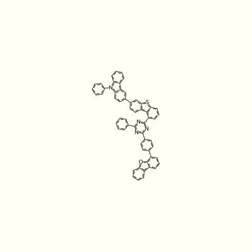 c1ccc(-c2nc(-c3ccc(-c4cccc5c4oc4ccccc45)cc3)nc(-c3cccc4sc5cc(-c6ccc7c(c6)c6ccccc6n7-c6ccccc6)ccc5c34)n2)cc1